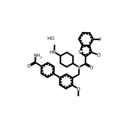 CNC1CCC(N(Cc2cc(-c3ccc(C(N)=O)cc3)ccc2OC)C(=O)c2sc3cccc(F)c3c2Cl)CC1.Cl